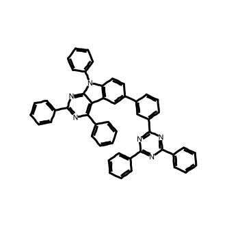 c1ccc(-c2nc(-c3ccccc3)nc(-c3cccc(-c4ccc5c(c4)c4c(-c6ccccc6)nc(-c6ccccc6)nc4n5-c4ccccc4)c3)n2)cc1